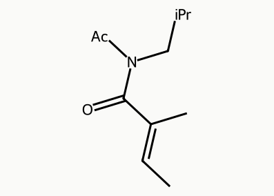 C/C=C(\C)C(=O)N(CC(C)C)C(C)=O